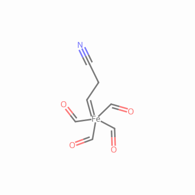 N#CC[CH]=[Fe]([CH]=O)([CH]=O)([CH]=O)[CH]=O